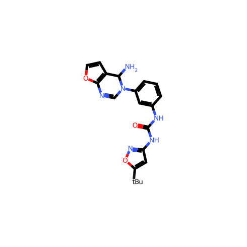 CC(C)(C)c1cc(NC(=O)Nc2cccc(N3C=Nc4occc4C3N)c2)no1